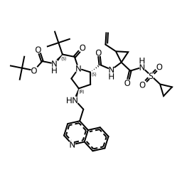 C=CC1CC1(NC(=O)[C@@H]1C[C@@H](NCc2ccnc3ccccc23)CN1C(=O)[C@@H](NC(=O)OC(C)(C)C)C(C)(C)C)C(=O)NS(=O)(=O)C1CC1